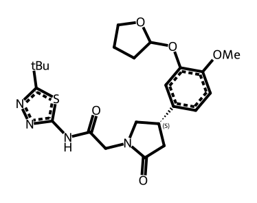 COc1ccc([C@@H]2CC(=O)N(CC(=O)Nc3nnc(C(C)(C)C)s3)C2)cc1OC1CCCO1